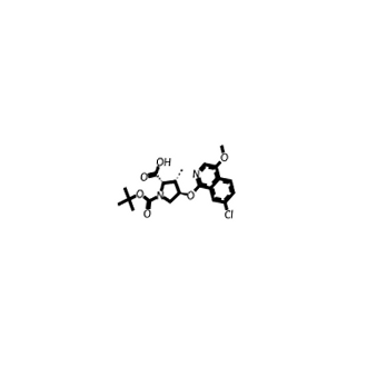 COc1cnc(O[C@H]2CN(C(=O)OC(C)(C)C)[C@H](C(=O)O)[C@@H]2C)c2cc(Cl)ccc12